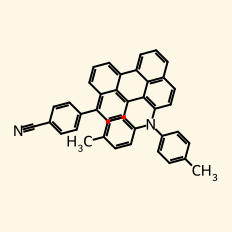 Cc1ccc(N(c2ccc(C)cc2)c2ccc3cccc4c5cccc6c(-c7ccc(C#N)cc7)ccc(c2c34)c65)cc1